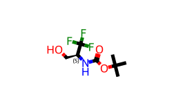 CC(C)(C)OC(=O)N[C@@H](CO)C(F)(F)F